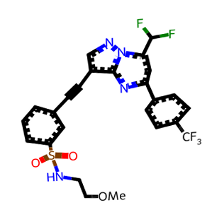 COCCNS(=O)(=O)c1cccc(C#Cc2cnn3c(C(F)F)cc(-c4ccc(C(F)(F)F)cc4)nc23)c1